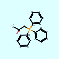 O=[C]([Pd])C[PH](c1ccccc1)(c1ccccc1)c1ccccc1